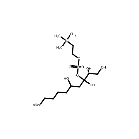 CCCCCCCCCCCCCCC(O)CC(O)(OP(=O)([O-])OCC[N+](C)(C)C)[C@@H](O)CO